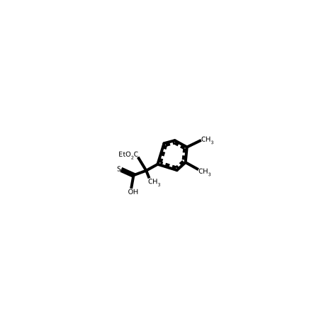 CCOC(=O)C(C)(C(O)=S)c1ccc(C)c(C)c1